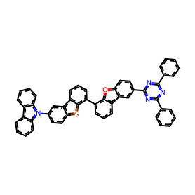 c1ccc(-c2nc(-c3ccccc3)nc(-c3ccc4oc5c(-c6cccc7c6sc6ccc(-n8c9ccccc9c9ccccc98)cc67)cccc5c4c3)n2)cc1